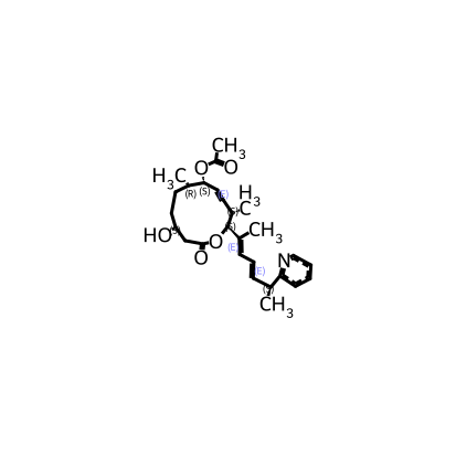 CC(=O)O[C@@H]1/C=C/[C@H](C)[C@@H](/C(C)=C/C=C/[C@H](C)c2ccccn2)OC(=O)C[C@@H](O)CC[C@H]1C